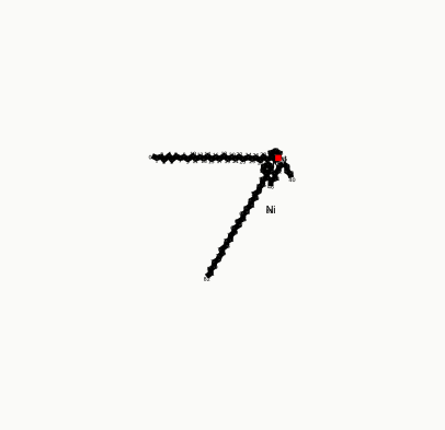 CCCCCCCCCCCCCCCCCCCCCCCCCCCCCCc1cccc(N=C(CCCC)C(CCCCC)=Nc2cccc(CCCCCCCCCCCCCCCCCCCCCCCCCCCCCC)c2)c1.[Ni]